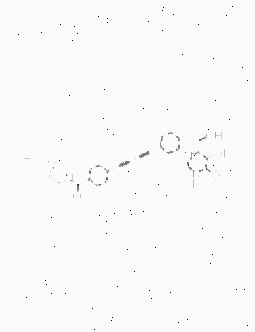 C=C(Cc1ccc(C#CC#Cc2ccc(C(=O)N3CCN(C)CC3)cc2)cc1)c1nc[nH]c(=O)c1O